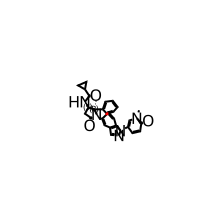 Cn1cc(-n2ncc3cc(N4C(=O)C[C@H](NC(=O)C5CC5)[C@@]4(C)c4ccccc4)ccc32)ccc1=O